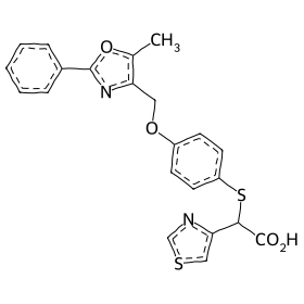 Cc1oc(-c2ccccc2)nc1COc1ccc(SC(C(=O)O)c2cscn2)cc1